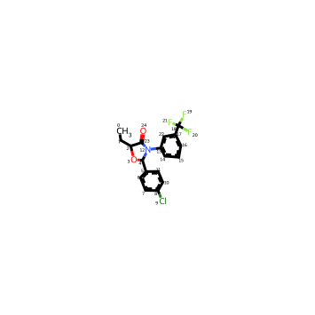 CCC1OC(c2ccc(Cl)cc2)N(c2cccc(C(F)(F)F)c2)C1=O